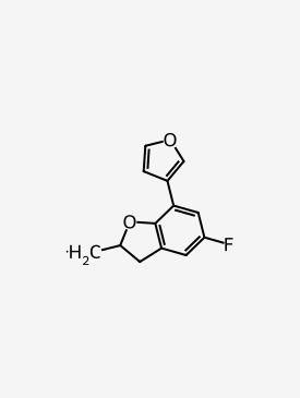 [CH2]C1Cc2cc(F)cc(-c3ccoc3)c2O1